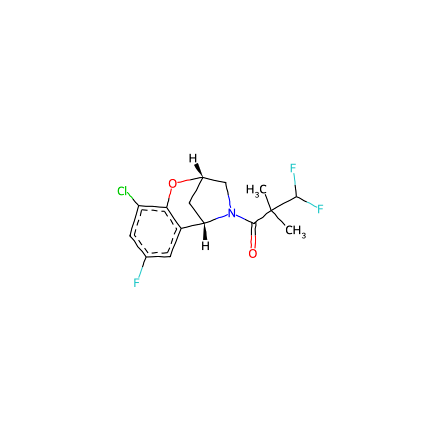 CC(C)(C(=O)N1C[C@@H]2C[C@H]1c1cc(F)cc(Cl)c1O2)C(F)F